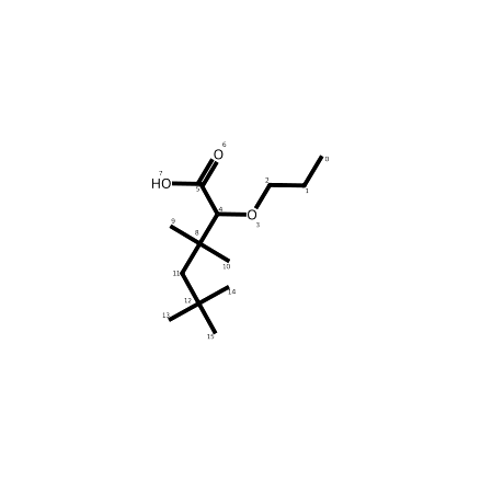 CCCOC(C(=O)O)C(C)(C)CC(C)(C)C